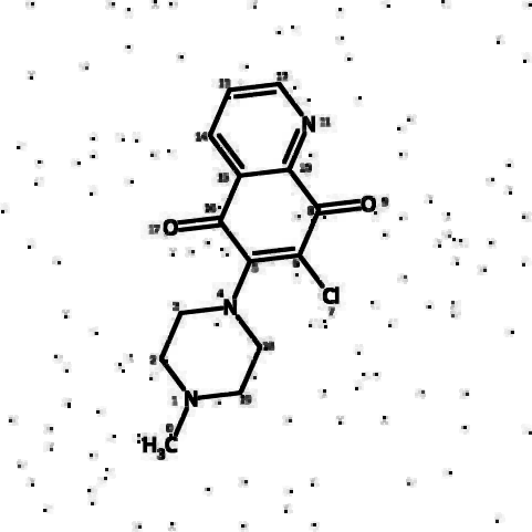 CN1CCN(C2=C(Cl)C(=O)c3ncccc3C2=O)CC1